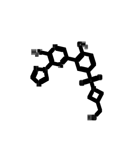 Cc1ccc(S(=O)(=O)N2CC(CO)C2)cc1-c1cnc(N)c(-n2cncn2)n1